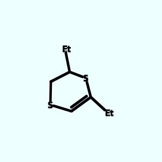 CCC1=CSCC(CC)S1